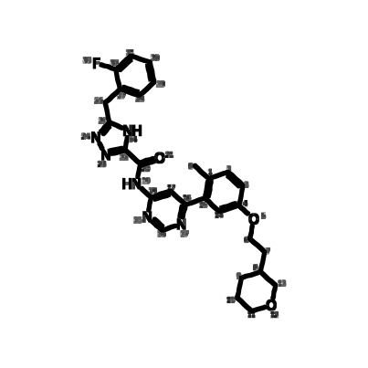 Cc1ccc(OCCC2CCCOC2)cc1-c1cc(NC(=O)c2nnc(Cc3ccccc3F)[nH]2)ncn1